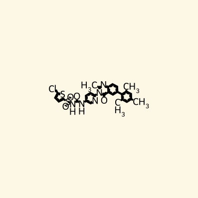 Cc1cc(C)c(-c2ccc3nc(C)n(-c4ccc(NC(=O)NS(=O)(=O)c5ccc(Cl)s5)cn4)c(=O)c3c2)c(C)c1